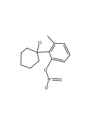 Cc1cccc(O[N+](=O)[O-])c1C1(Cl)CCCCC1